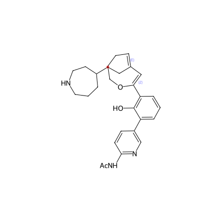 CC(=O)Nc1ccc(-c2cccc(/C3=C/C(CCC4CCCNCC4)=C/CCCO3)c2O)cn1